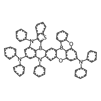 c1ccc(N(c2ccccc2)c2cc3c4c(c2)Oc2cc5c(cc2B4c2ccccc2O3)B2c3sc4ccccc4c3N(c3ccccc3)c3cc(N(c4ccccc4)c4ccccc4)cc(c32)N5c2ccccc2)cc1